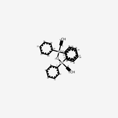 C#C[Si](O[Si](C#C)(c1ccccc1)c1ccccc1)(c1ccccc1)c1ccccc1